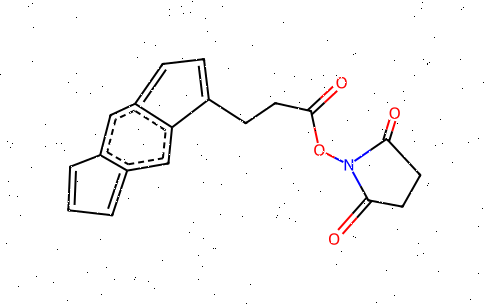 O=C(CCC1=CC=c2cc3c(cc21)=CC=C3)ON1C(=O)CCC1=O